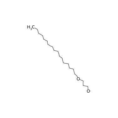 CCCCCCCCCCCCCCCCCCOCCC[O]